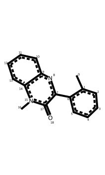 Cc1ccccc1-c1nc2ccccc2n(C)c1=O